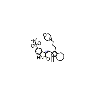 CN(C)S(=O)(=O)c1ccc2c(c1)/C(=C/c1[nH]c3c(c1CCCN1CCOCC1)CCCCC3)C(=O)N2